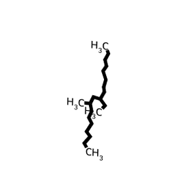 CCCCCCCCC(CC)CC(C)CCCCCCC